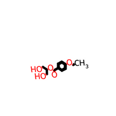 CCOc1ccc(C(=O)OC(CO)CO)cc1